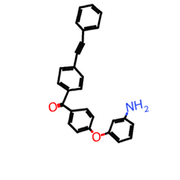 Nc1cccc(Oc2ccc(C(=O)c3ccc(C#Cc4ccccc4)cc3)cc2)c1